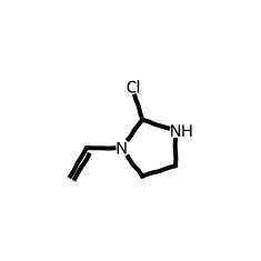 C=CN1CCNC1Cl